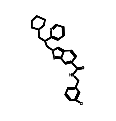 O=C(NCc1cccc(Cl)c1)c1ccc2cn(CC(CC3CCCCC3)c3ccccn3)nc2c1